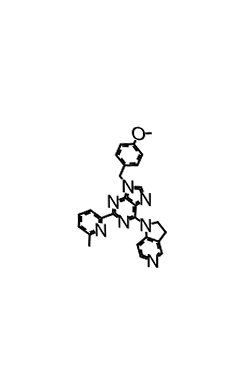 COc1ccc(Cn2cnc3c(N4CCc5cnccc54)nc(-c4cccc(C)n4)nc32)cc1